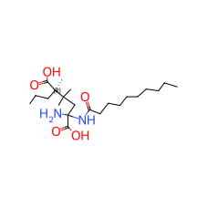 CCCCCCCCCC(=O)NC(N)(CC(C)(C)[C@@](C)(CCC)C(=O)O)C(=O)O